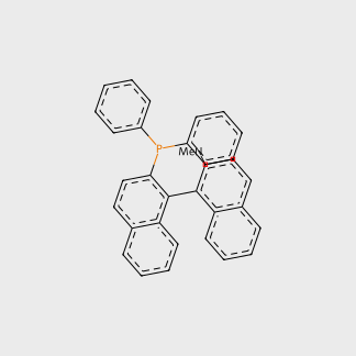 CNc1ccc2ccccc2c1-c1c(P(c2ccccc2)c2ccccc2)ccc2ccccc12